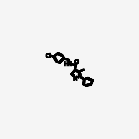 Cc1c(C(=O)NCc2ccc(Cl)cc2)cnn1-c1ccccc1